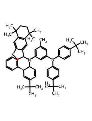 Cc1cc(N(c2ccc(C(C)(C)C)cc2)c2ccc(C(C)(C)C)cc2)cc(N(C2CSc3cc4c(cc32)C(C)(C)CCC4(C)C)C2C=CC(C(C)(C)C)=C[C@H]2c2ccccc2)c1